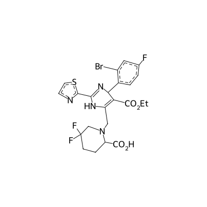 CCOC(=O)C1=C(CN2CC(F)(F)CCC2C(=O)O)NC(c2nccs2)=NC1c1ccc(F)cc1Br